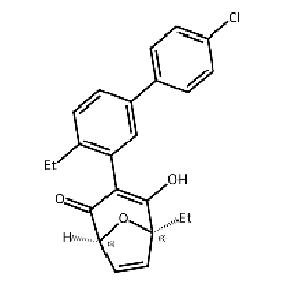 CCc1ccc(-c2ccc(Cl)cc2)cc1C1=C(O)[C@@]2(CC)C=C[C@H](O2)C1=O